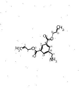 C=CCOC(=O)c1[c]c(C(=O)OCC=C)cc(CN)c1